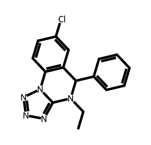 CCN1c2nnnn2-c2ccc(Cl)cc2C1c1ccccc1